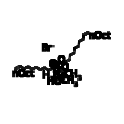 CCCCCCCC/C=C\CCCCCCCC(=O)OC(CC)(OC(=O)CCCCCCC/C=C\CCCCCCCC)C(C)[N+](C)(C)O.[Br-]